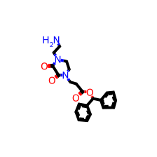 NCCN1CCN(CCC(=O)OC(c2ccccc2)c2ccccc2)C(=O)C1=O